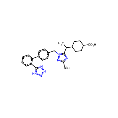 CCCCc1nc(C(C)C2CCC(C(=O)O)CC2)n(Cc2ccc(-c3ccccc3-c3nnn[nH]3)cc2)n1